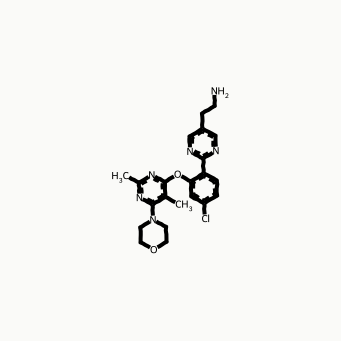 Cc1nc(Oc2cc(Cl)ccc2-c2ncc(CCN)cn2)c(C)c(N2CCOCC2)n1